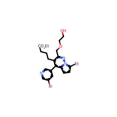 CCOC(=O)CCCc1c(COCCO)nn2c(CC)ccc2c1-c1cncc(Br)c1